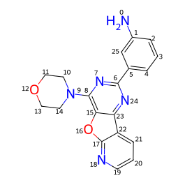 Nc1cccc(-c2nc(N3CCOCC3)c3oc4ncccc4c3n2)c1